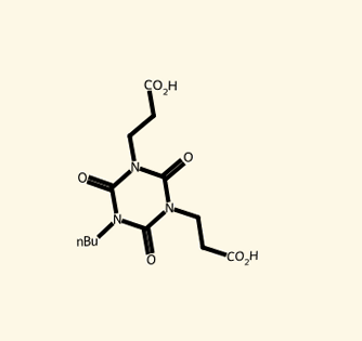 CCCCn1c(=O)n(CCC(=O)O)c(=O)n(CCC(=O)O)c1=O